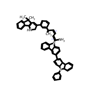 C=C(/C=C\C=C(/N)n1c2ccccc2c2cc(C3=CC4C5C=CC=CC5N(c5ccccc5)C4C=C3)ccc21)c1cccc(C2=CC3=C(NC2)c2ccccc2C3(C)C)c1